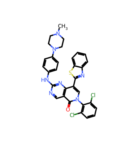 CN1CCN(c2ccc(Nc3ncc4c(=O)n(-c5c(Cl)cccc5Cl)cc(-c5nc6ccccc6s5)c4n3)cc2)CC1